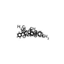 CCn1nc(C2CCCCC2)c2c(=O)[nH]c(-c3ccc(S(=O)(=O)N4CCCN(C)CC4)cc3OC)nc21